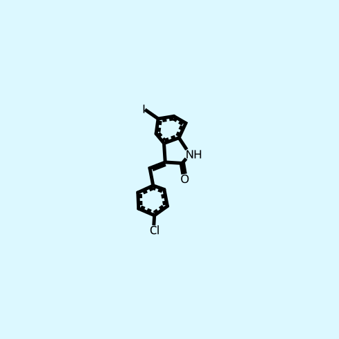 O=C1Nc2ccc(I)cc2C1=Cc1ccc(Cl)cc1